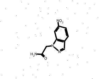 NC(=O)Cn1ncc2ccc([N+](=O)[O-])cc21